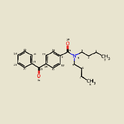 CCCCN(CCCC)C(=O)c1ccc(C(=O)c2ccccc2)cc1